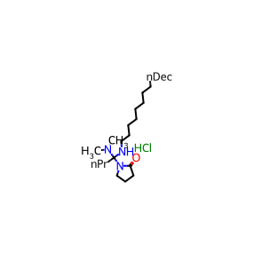 CCCCCCCCCCCCCCCCCCNC(CCC)(N(C)C)N1CCCC1=O.Cl